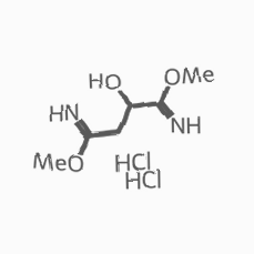 COC(=N)CC(O)C(=N)OC.Cl.Cl